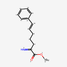 CC(C)(C)OC(=O)C(=N)CCCC=Cc1ccccc1